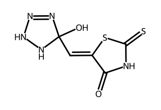 O=C1NC(=S)SC1=CC1(O)N=NNN1